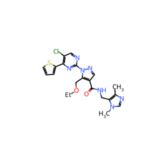 CCOCc1c(C(=O)NCc2c(C)ncn2C)cnn1-c1ncc(Cl)c(-c2cccs2)n1